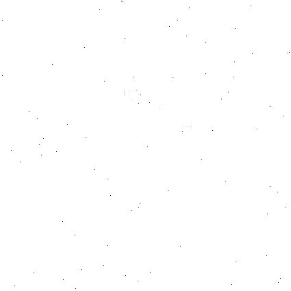 Cc1cccc(C(C)(N)O)c1